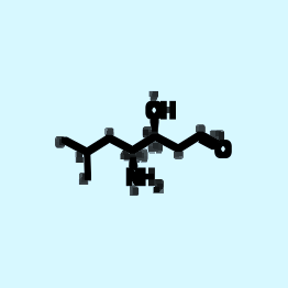 CC(C)C[C@H](N)[C@@H](O)CC=O